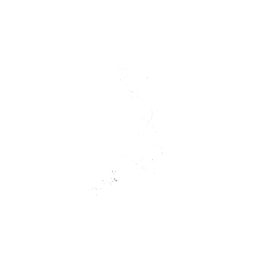 O=P([O-])([O-])[O-].O=P([O-])([O-])[O-].O=P([O-])([O-])[O-].O=P([O-])([O-])[O-].[CaH2].[Mg+2].[Mg+2].[Mg+2].[Zn+2].[Zn+2].[Zn+2]